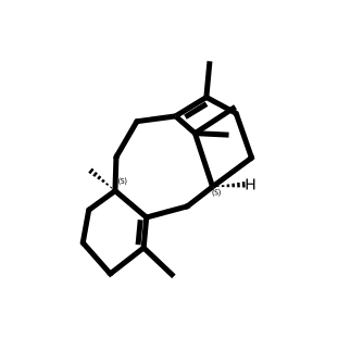 CC1=C2CC[C@]3(C)CCCC(C)=C3C[C@H](CC1)C2(C)C